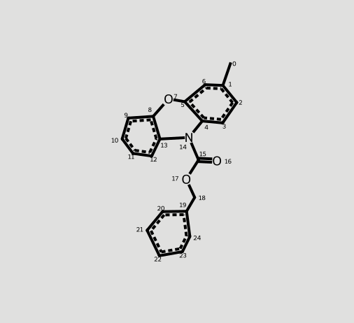 Cc1ccc2c(c1)Oc1ccccc1N2C(=O)OCc1ccccc1